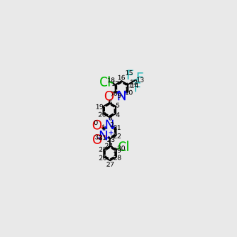 O=c1n(-c2ccc(Oc3ncc(C(F)(F)F)cc3Cl)cc2)ccc(-c2ccccc2Cl)[n+]1[O-]